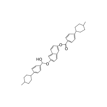 CC1CCC(c2ccc(C(=O)Oc3ccc4cc(OC(O)c5ccc(C6CCC(C)CC6)cc5)ccc4c3)cc2)CC1